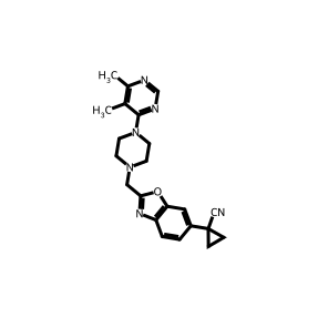 Cc1ncnc(N2CCN(Cc3nc4ccc(C5(C#N)CC5)cc4o3)CC2)c1C